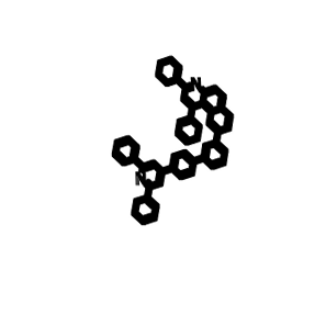 C1=CCCC(c2cc(-c3ccc(-c4cccc(-c5ccc6ccc7nc(C8=CCCCC8)cc(C8=CC=CCC8)c7c6c5)c4)cc3)cc(-c3ccccc3)n2)=C1